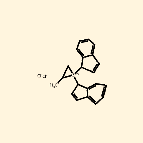 C[CH]1[CH2][Zr+2]1([CH]1C=Cc2ccccc21)[CH]1C=Cc2ccccc21.[Cl-].[Cl-]